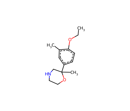 CCOc1ccc(C2(C)CNCCO2)cc1C